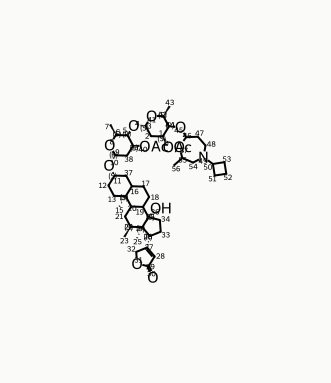 CC(=O)O[C@H]1C[C@H](O[C@@H]2[C@H](C)O[C@@H](O[C@H]3CC[C@@]4(C)C(CCC5C4C[C@H](C)[C@]4(C)[C@@H](C6=CC(=O)OC6)CC[C@]54O)C3)C[C@@H]2OC(C)=O)O[C@@H](C)[C@H]1OC1CCN(C2CCC2)CC(C)O1